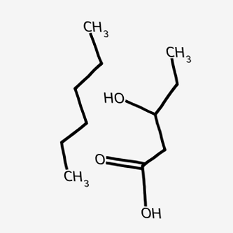 CCC(O)CC(=O)O.CCCCCC